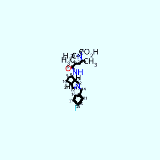 CC(C[C@H](C)C(=O)N[C@H]1CC[C@@H]2CN(Cc3ccc(F)cc3)C[C@@H]21)N(C)C(=O)O